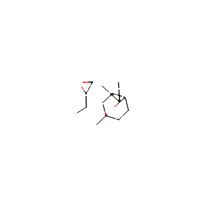 CC12CCC(CC1)C(C)(C)O2.CCC1CO1